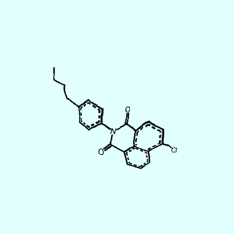 CCCCc1ccc(N2C(=O)c3cccc4c(Cl)ccc(c34)C2=O)cc1